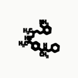 C=C(NCC(C)CCc1ccccc1CN)c1ccc(C(=C)NCC2CCCCC2)cc1